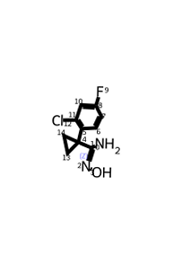 N/C(=N\O)C1(c2ccc(F)cc2Cl)CC1